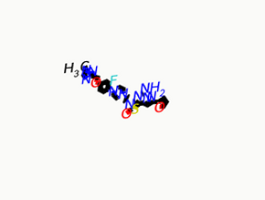 Cn1cnc(COc2ccc(N3CCN(CCn4c(=O)sc5c4nc(N)n4nc(-c6ccco6)cc54)CC3)c(F)c2)n1